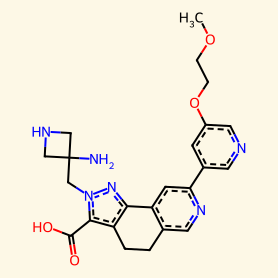 COCCOc1cncc(-c2cc3c(cn2)CCc2c-3nn(CC3(N)CNC3)c2C(=O)O)c1